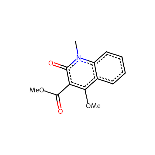 COC(=O)c1c(OC)c2ccccc2n(C)c1=O